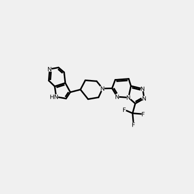 FC(F)(F)c1nnc2ccc(N3CCC(c4c[nH]c5cnccc45)CC3)nn12